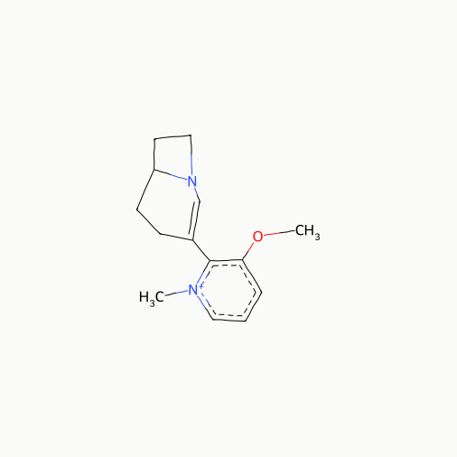 COc1ccc[n+](C)c1C1=CN2CCC2CC1